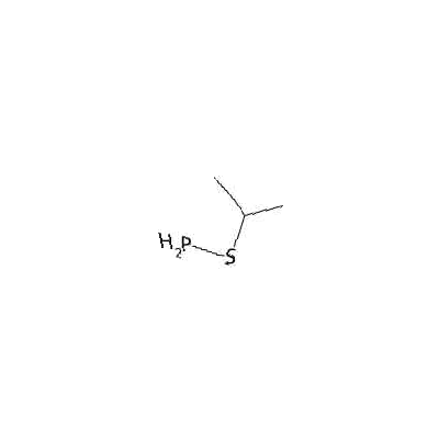 CC(C)SP